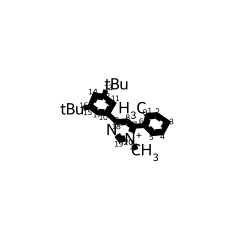 Cc1ccccc1-c1cc(-c2cc(C(C)(C)C)cc(C(C)(C)C)c2)nc[n+]1C